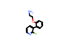 NCCOc1ccccc1-c1cccnc1F